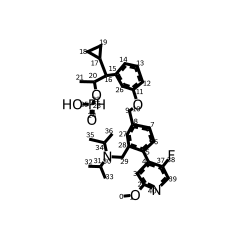 COc1cc(-c2ccc(COc3cccc(C(C4CC4)C(C)O[PH](=O)O)c3)cc2CN(C(C)C)C(C)C)c(F)cn1